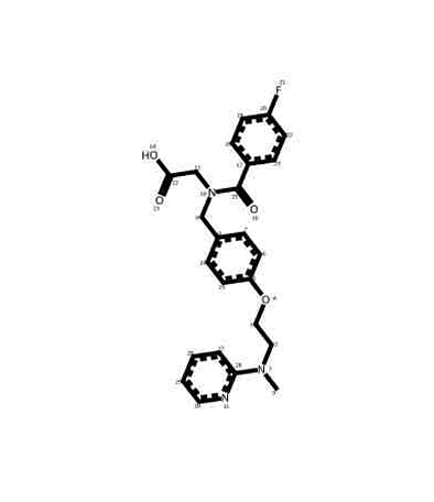 CN(CCOc1ccc(CN(CC(=O)O)C(=O)c2ccc(F)cc2)cc1)c1ccccn1